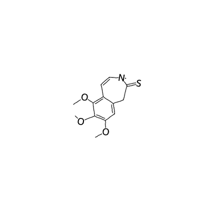 COc1cc2c(c(OC)c1OC)C=C[N]C(=S)C2